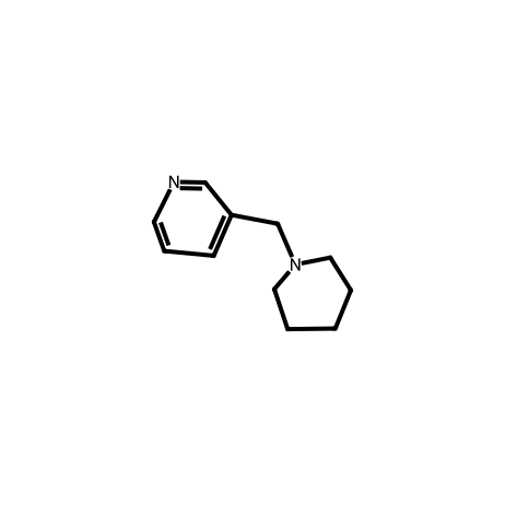 c1cncc(CN2CCCCC2)c1